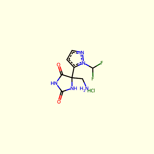 Cl.NCC1(c2ccnn2C(F)F)NC(=O)NC1=O